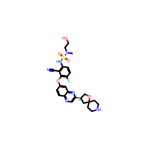 CN(CCO)S(=O)(=O)Nc1ccc(F)c(Oc2ccc3ncc([C@H]4COC5(CCNCC5)C4)nc3c2)c1C#N